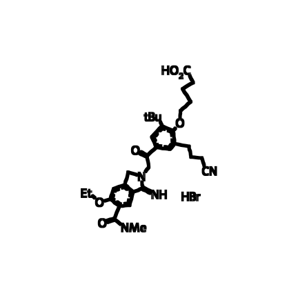 Br.CCOc1cc2c(cc1C(=O)NC)C(=N)N(CC(=O)c1cc(CCCC#N)c(OCCCCC(=O)O)c(C(C)(C)C)c1)C2